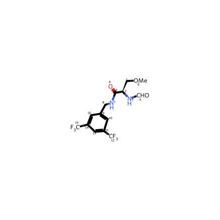 COC[C@@H](NC=O)C(=O)NCc1cc(C(F)(F)F)cc(C(F)(F)F)c1